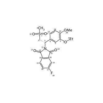 CCOc1cc([C@@H](CS(C)(=O)=O)N2C(=O)c3ccc(F)cc3C2=O)ccc1OC